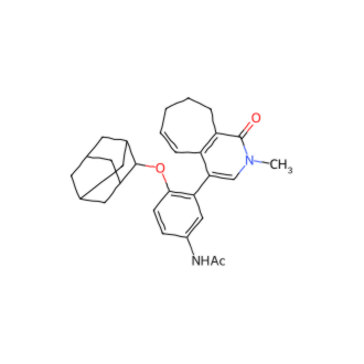 CC(=O)Nc1ccc(OC2C3CC4CC(C3)CC2C4)c(-c2cn(C)c(=O)c3c2C=CCCC3)c1